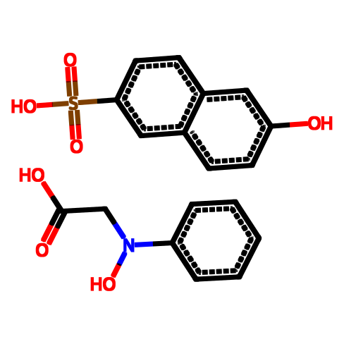 O=C(O)CN(O)c1ccccc1.O=S(=O)(O)c1ccc2cc(O)ccc2c1